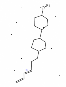 C=C/C=C/CCC1CCC(C2CCC(OCC)CC2)CC1